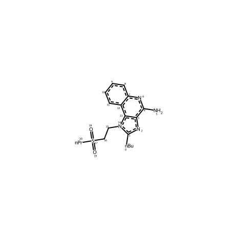 CCCCc1nc2c(N)nc3ccccc3c2n1CCS(=O)(=O)CCC